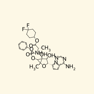 C[C@H](NP(=O)(Oc1ccccc1)OC1[C@@]2(C)O[C@@H](c3ccc4c(N)ncnn34)[C@H](O)[C@@]12O)C(=O)OC1CCC(F)(F)CC1